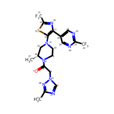 Cc1ncn(CC(=O)N2CCN(c3sc(C(F)(F)F)nc3-c3cnc(C(F)(F)F)nc3)C[C@H]2C)n1